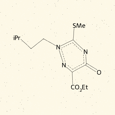 CCOC(=O)c1nn(CCC(C)C)c(SC)nc1=O